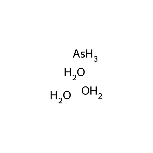 O.O.O.[AsH3]